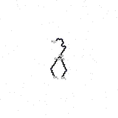 CC/C=C\C/C=C\C/C=C\C/C=C\C/C=C\CCCCCC(=O)OC(COC(=O)CCCCCCC/C=C\CCCCCC)COC(=O)CCCCCCC/C=C\CCCCCC